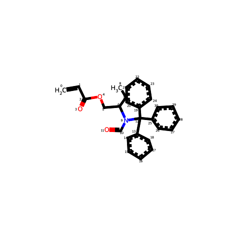 C=CC(=O)OCC(CC)N(C=O)C(c1ccccc1)(c1ccccc1)c1ccccc1